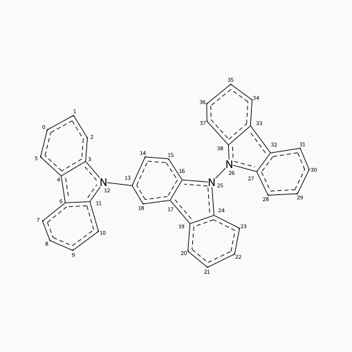 c1ccc2c(c1)c1ccccc1n2-c1ccc2c(c1)c1ccccc1n2-n1c2ccccc2c2ccccc21